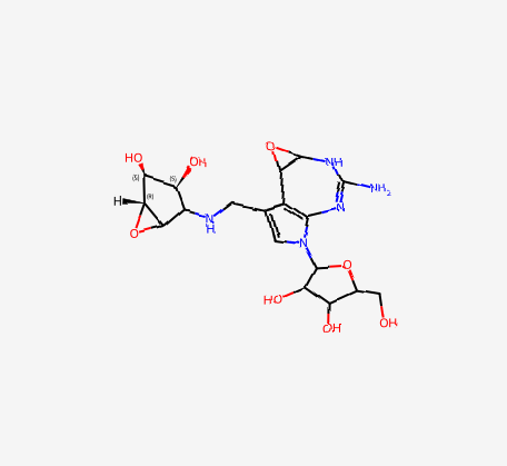 NC1=Nc2c(c(CNC3C4O[C@@H]4[C@@H](O)[C@H]3O)cn2C2OC(CO)C(O)C2O)C2OC2N1